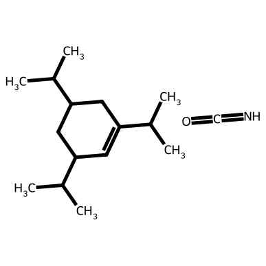 CC(C)C1=CC(C(C)C)CC(C(C)C)C1.N=C=O